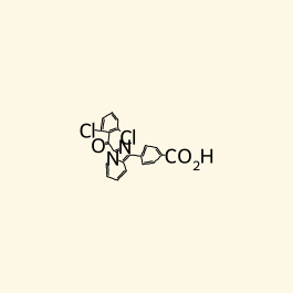 O=C(O)c1ccc(-c2nc(C(=O)c3c(Cl)cccc3Cl)n3ccccc23)cc1